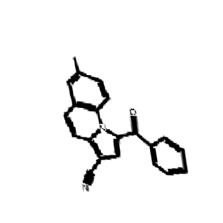 Cc1ccc2c(ccc3c(C#N)cc(C(=O)c4ccccc4)n32)c1